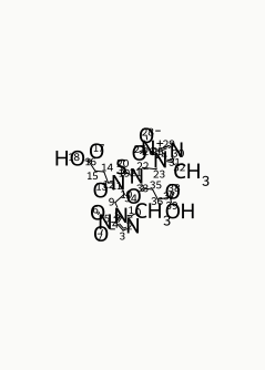 Cc1ncc([N+](=O)[O-])n1CCN(C(=O)CCC(=O)O)C(=S)N(CCn1c([N+](=O)[O-])cnc1C)C(=O)CCC(=O)O